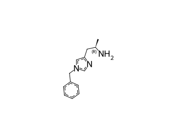 C[C@@H](N)Cc1cn(Cc2ccccc2)cn1